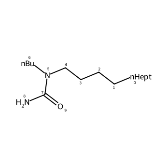 CCCCCCCCCCCN(CCCC)C(N)=O